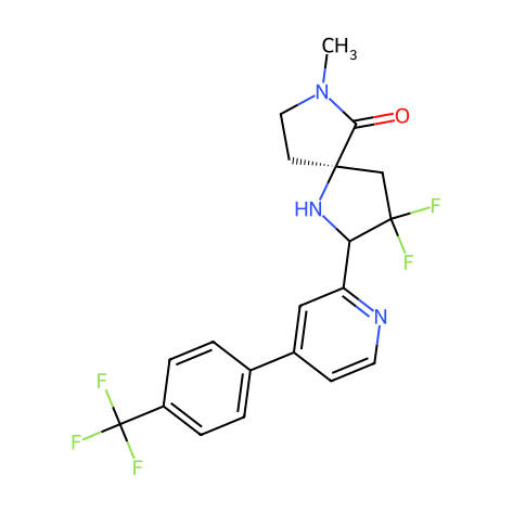 CN1CC[C@@]2(CC(F)(F)C(c3cc(-c4ccc(C(F)(F)F)cc4)ccn3)N2)C1=O